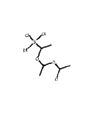 CC[Si](Cl)(CC)C(C)OC(C)OC(C)Cl